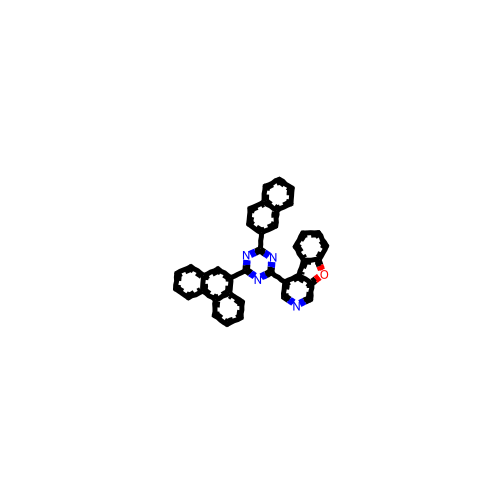 c1ccc2cc(-c3nc(-c4cc5ccccc5c5ccccc45)nc(-c4cncc5oc6ccccc6c45)n3)ccc2c1